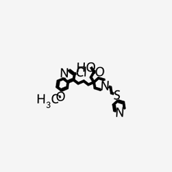 COc1ccc2ncc(Cl)c(CCCC3(CC(=O)O)CCN(CCSc4ccncc4)CC3)c2c1